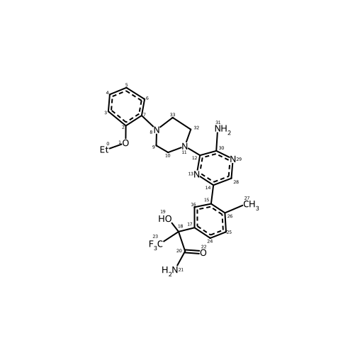 CCOc1ccccc1N1CCN(c2nc(-c3cc(C(O)(C(N)=O)C(F)(F)F)ccc3C)cnc2N)CC1